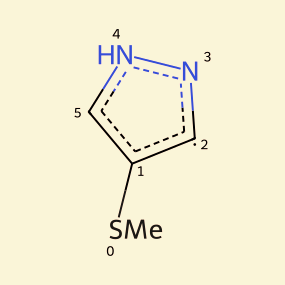 CSc1[c]n[nH]c1